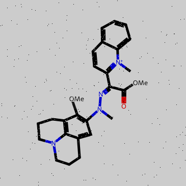 COC(=O)/C(=N\N(C)c1cc2c3c(c1OC)CCCN3CCC2)c1ccc2ccccc2[n+]1C